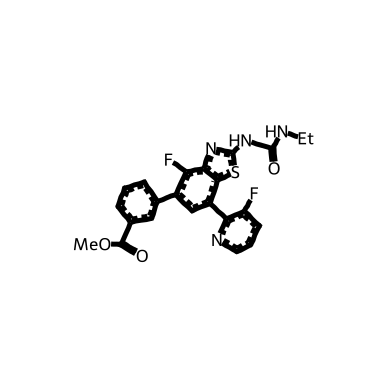 CCNC(=O)Nc1nc2c(F)c(-c3cccc(C(=O)OC)c3)cc(-c3ncccc3F)c2s1